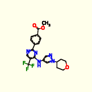 COC(=O)c1ccc(-c2ncc(C(F)(F)F)c(Nc3cnn(C4CCOCC4)c3)n2)cc1